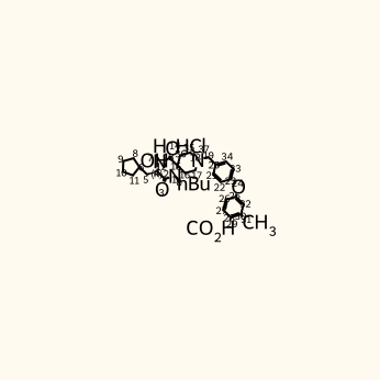 CCCCN1C(=O)[C@@H](CC2(O)CCCC2)NC(=O)C12CCN(Cc1ccc(Oc3ccc(C(=O)O)c(C)c3)cc1)CC2.Cl